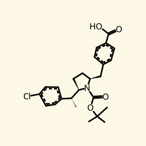 C[C@H](c1ccc(Cl)cc1)[C@H]1CC[C@@H](Cc2ccc(C(=O)O)cc2)N1C(=O)OC(C)(C)C